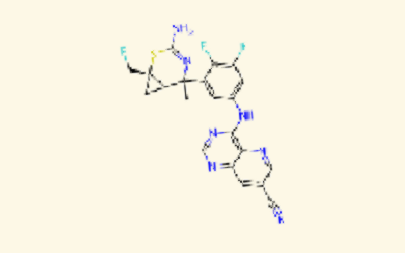 C[C@]1(c2cc(Nc3ncnc4cc(C#N)cnc34)cc(F)c2F)N=C(N)S[C@@]2(CF)CC21